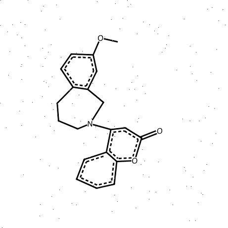 COc1ccc2c(c1)CN(c1cc(=O)oc3ccccc13)CCC2